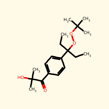 CCC(CC)(OOC(C)(C)C)c1ccc(C(=O)C(C)(C)O)cc1